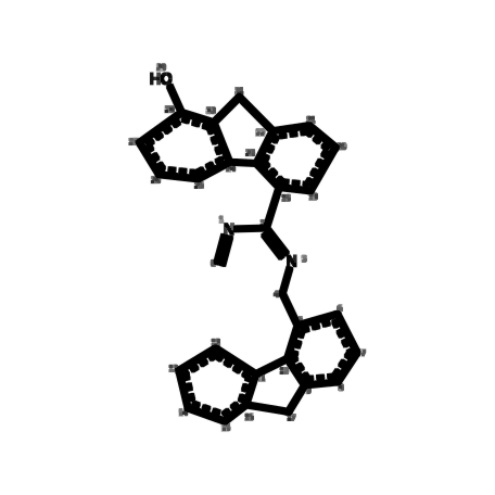 C=N/C(=N\Cc1cccc2c1-c1ccccc1C2)c1cccc2c1-c1cccc(O)c1C2